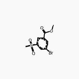 COC(=O)c1cc(Br)cc(S(C)(=O)=O)c1